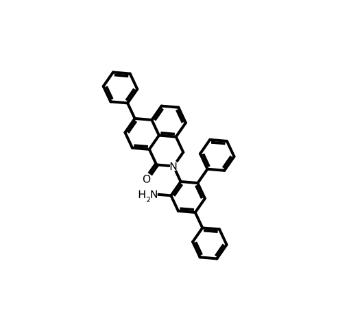 Nc1cc(-c2ccccc2)cc(-c2ccccc2)c1N1Cc2cccc3c(-c4ccccc4)ccc(c23)C1=O